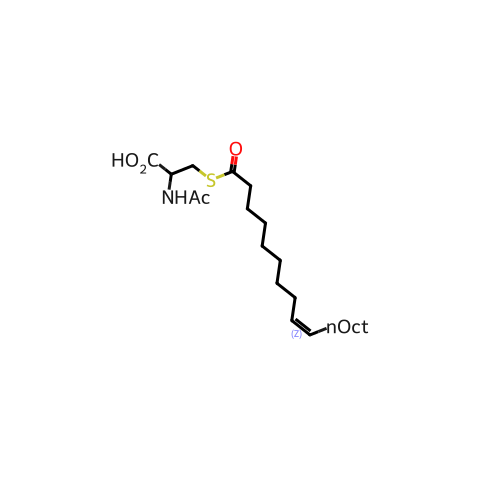 CCCCCCCC/C=C\CCCCCCCC(=O)SCC(NC(C)=O)C(=O)O